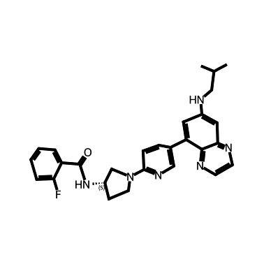 CC(C)CNc1cc(-c2ccc(N3CC[C@H](NC(=O)c4ccccc4F)C3)nc2)c2nccnc2c1